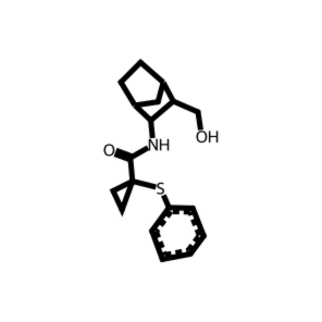 O=C(NC1C2CCC(C2)C1CO)C1(Sc2ccccc2)CC1